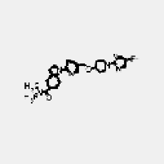 CCc1cnc(N2CCC(OCc3ccc(-n4ccc5cc(C(=O)N(C)C)ccc54)nc3)CC2)nc1